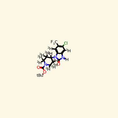 [2H]c1c(Cl)c(C(F)(F)F)c([2H])c2c1n([2H])c(=O)n2C1([2H])C([2H])([2H])C([2H])([2H])N(C(=O)OC(C)(C)C)C([2H])([2H])C1([2H])[2H]